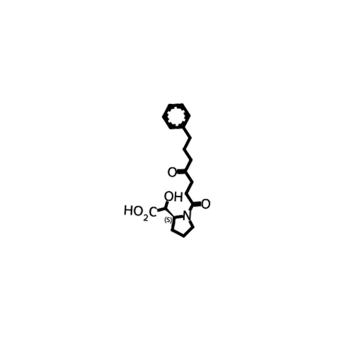 O=C(CCCc1ccccc1)CCC(=O)N1CCC[C@H]1C(O)C(=O)O